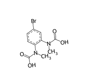 CN(C(=O)O)c1ccc(Br)cc1N(C)C(=O)O